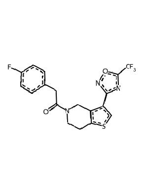 O=C(Cc1ccc(F)cc1)N1CCc2scc(-c3noc(C(F)(F)F)n3)c2C1